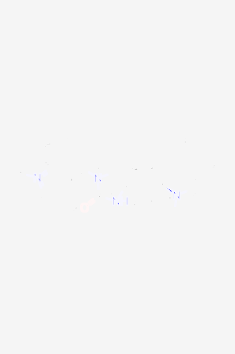 Cn1ccc2c(N3C[C@]4(CC[C@](c5ccccc5)(N(C)C)CC4)NC3=O)cccc21